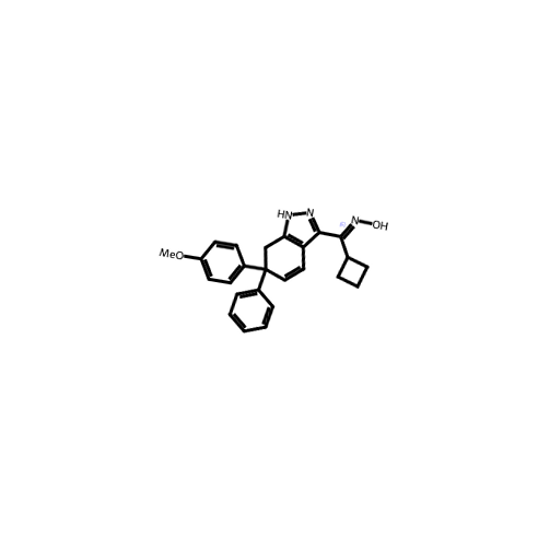 COc1ccc(C2(c3ccccc3)C=Cc3c(/C(=N/O)C4CCC4)n[nH]c3C2)cc1